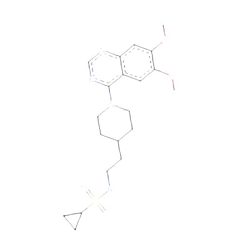 COc1cc2ncnc(N3CCC(CCNS(=O)(=O)C4CC4)CC3)c2cc1OC